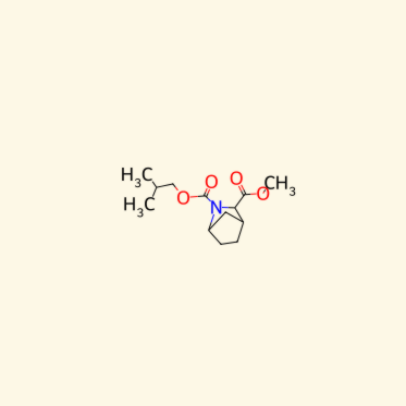 COC(=O)C1C2CCC(C2)N1C(=O)OCC(C)C